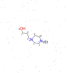 [CH2]CN1CCN(CCCO)CC1